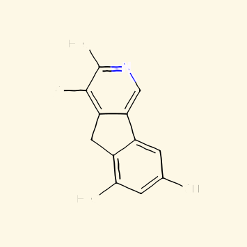 Cc1cc(C)c2c(c1)-c1cnc(C)c(C)c1C2